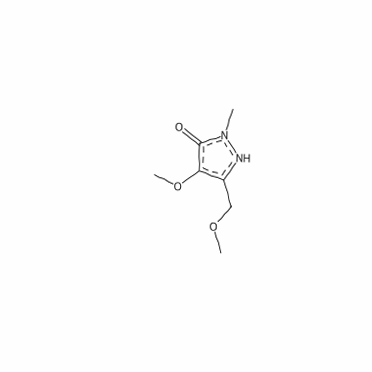 COCc1[nH]n(C)c(=O)c1OC